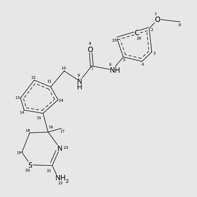 COc1ccc(NC(=O)NCc2cccc(C3(C)CCSC(N)=N3)c2)cc1